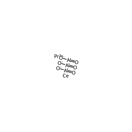 [Ce].[O]=[Al][O-].[O]=[Al][O-].[O]=[Al][O-].[Pr+3]